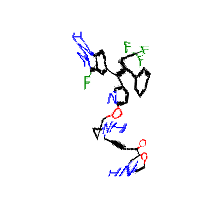 O=C(/C=C/CNC1(COc2ccc(/C(=C(/CC(F)(F)F)c3ccccc3)c3ccc4[nH]nc(F)c4c3)cn2)CC1)C1CNCCO1